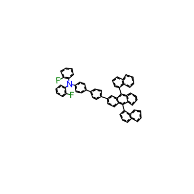 Fc1ccccc1N(c1ccc(-c2ccc(-c3ccc4c(-c5cccc6ccccc56)c5ccccc5c(-c5cccc6ccccc56)c4c3)cc2)cc1)c1ccccc1F